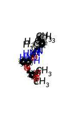 COc1ccc(CCOc2ccc(NC(=O)Nc3cc(-c4cccc(C(C)(C)C)c4C)n[nH]3)c3ccccc23)cc1OC